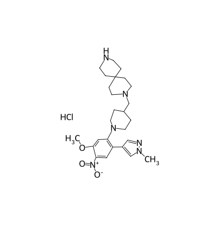 COc1cc(N2CCC(CN3CCC4(CCNCC4)CC3)CC2)c(-c2cnn(C)c2)cc1[N+](=O)[O-].Cl